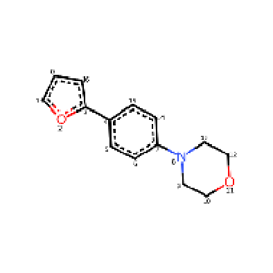 c1coc(-c2ccc(N3CCOCC3)cc2)c1